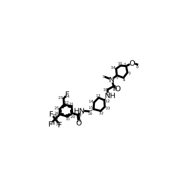 COC1CCC(N(C)C(=O)CN[C@H]2CC[C@@H](CNC(=O)c3cc(CF)cc(C(F)(F)F)c3)CC2)CC1